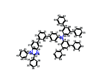 c1ccc(-c2cc(-c3ccccc3)cc(N(c3ccc(-c4cccc(-c5ccc6c(c5)nc(-c5ccccc5)n6-c5ccccc5)c4)cc3)c3cc(-c4ccccc4)cc(-c4ccccc4)c3)c2)cc1